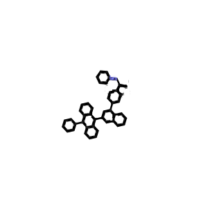 C=c1cccc/c1=C/c1c(C)oc2cc(-c3cc(-c4c5ccccc5c(-c5ccccc5)c5ccccc45)cc4ccccc34)ccc12